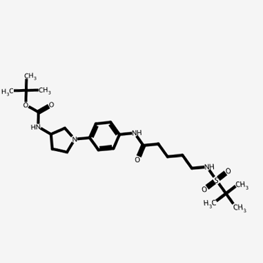 CC(C)(C)OC(=O)NC1CCN(c2ccc(NC(=O)CCCCNS(=O)(=O)C(C)(C)C)cc2)C1